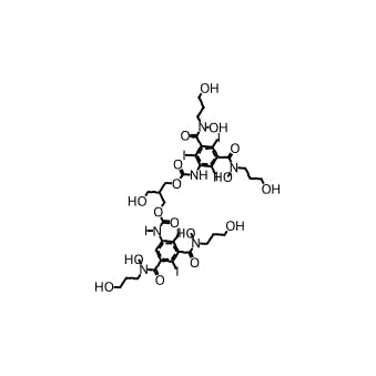 O=C(Nc1c(I)c(C(=O)N(O)CCCO)c(I)c(C(=O)N(O)CCCO)c1I)OCC(CO)COC(=O)N(I)c1cc(C(=O)N(O)CCCO)c(I)c(C(=O)N(O)CCCO)c1I